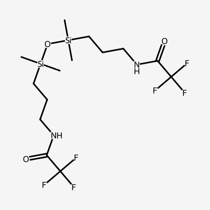 C[Si](C)(CCCNC(=O)C(F)(F)F)O[Si](C)(C)CCCNC(=O)C(F)(F)F